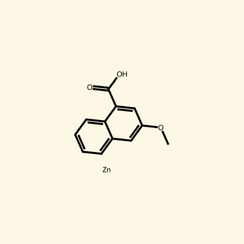 COc1cc(C(=O)O)c2ccccc2c1.[Zn]